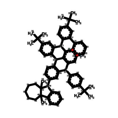 Cc1cc2c3c(c1)N(c1ccc(C(C)(C)C)cc1-c1ccccc1)c1cc(C(C)(C)C)ccc1B3c1ccc(N3c4ccccc4C4(C)CCCCCC34C)cc1N2c1ccc(C(C)(C)C)cc1